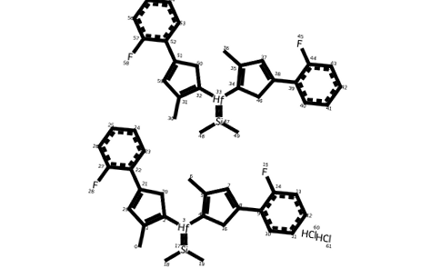 CC1=[C]([Hf]([C]2=C(C)C=C(c3ccccc3F)C2)=[Si](C)C)CC(c2ccccc2F)=C1.CC1=[C]([Hf]([C]2=C(C)C=C(c3ccccc3F)C2)=[Si](C)C)CC(c2ccccc2F)=C1.Cl.Cl